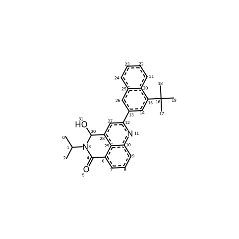 CC(C)N1C(=O)c2cccc3nc(-c4cc(C(C)(C)C)c5ccccc5c4)cc(c23)C1O